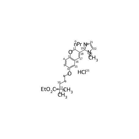 CCCC1Oc2ccc(OCCCC(C)(C)C(=O)OCC)cc2C=C1c1nccn1C.Cl